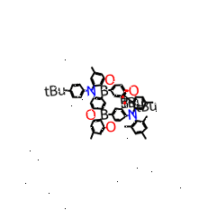 Cc1cc(C)c(N2c3cc4c(cc3B3c5cc(C(C)(C)C)ccc5Oc5cc(C)cc2c53)B2c3cc5c(cc3Oc3cc(C)cc(c32)O4)N(c2ccc(C(C)(C)C)cc2)c2cc(C)cc3c2B5c2cc(C(C)(C)C)ccc2O3)c(C)c1